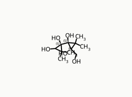 CC1(C)C(O)[C@]1(O)[C@]1(O)C(C)(C)[C@@]1(O)CO